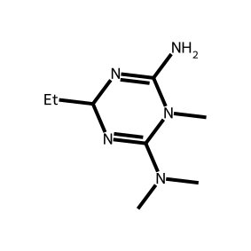 CCC1N=C(N)N(C)C(N(C)C)=N1